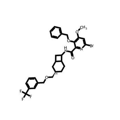 COc1cc(Br)nc(C(=O)NC2CC3C[C@H](COCc4cccc(C(F)(F)F)c4)CCC32)c1OCc1ccccc1